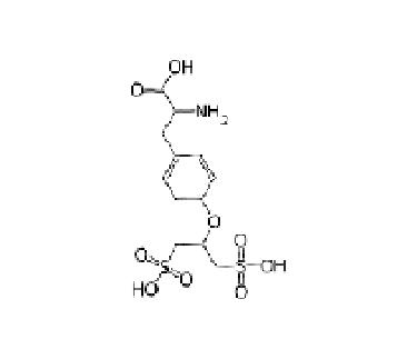 NC(Cc1ccc(OC(CS(=O)(=O)O)CS(=O)(=O)O)cc1)C(=O)O